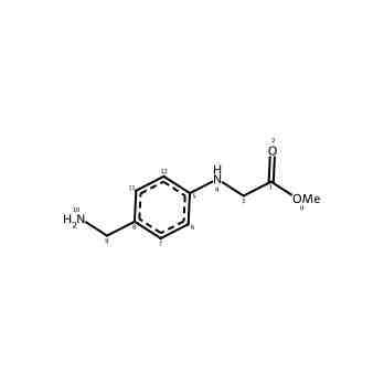 COC(=O)CNc1ccc(CN)cc1